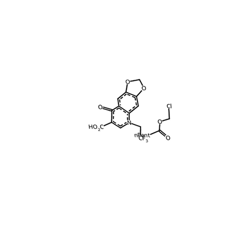 CCCCCC(=O)OCCl.O=C(O)c1cn(CC(F)(F)F)c2cc3c(cc2c1=O)OCO3